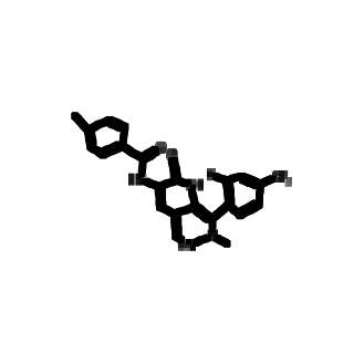 Cc1ccc(C(=O)Nc2cc3c([nH]c2=O)=C(c2ccc(C(F)(F)F)cc2F)N(C)NC=3)cc1